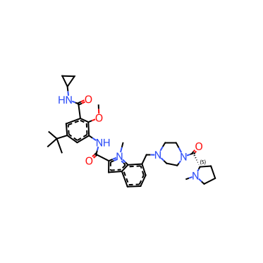 COc1c(NC(=O)c2cc3cccc(CN4CCN(C(=O)[C@@H]5CCCN5C)CC4)c3n2C)cc(C(C)(C)C)cc1C(=O)NC1CC1